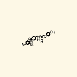 CCc1cc(Br)ccc1S(=O)(=O)N1CCC(CNC[C@@H](O)COc2ccc(O)cc2)CC1